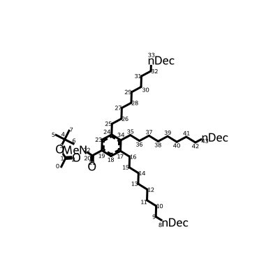 CC(=O)OC(C)(C)C.CCCCCCCCCCCCCCCCCCc1cc(C(=O)NC)cc(CCCCCCCCCCCCCCCCCC)c1CCCCCCCCCCCCCCCCCC